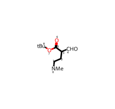 CNCCC(C=O)C(=O)OC(C)(C)C